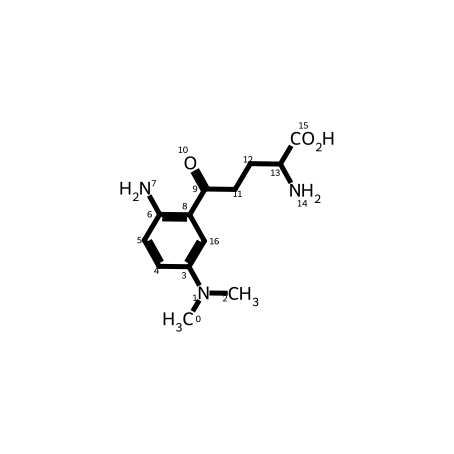 CN(C)c1ccc(N)c(C(=O)CCC(N)C(=O)O)c1